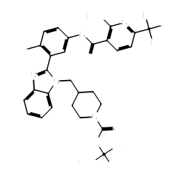 Cc1nc(C(F)(F)F)ccc1C(=O)Nc1ccc(Cl)c(-c2nc3ccccc3n2CC2CCN(C(=O)OC(C)(C)C)CC2)c1